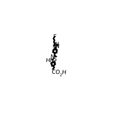 O=C(O)CCc1ccc(Nc2nc(-c3ccc(-n4cc(CCCF)nn4)cc3)cs2)cc1